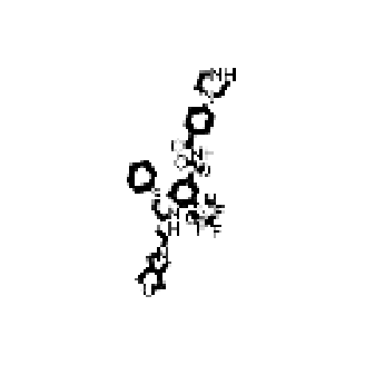 O=C(NS(=O)(=O)c1ccc(N[C@H](CCN2CC3COCC3C2)CSc2ccccc2)c(S(=O)(=O)C(F)(F)F)c1)c1ccc(N2CCNCC2)cc1